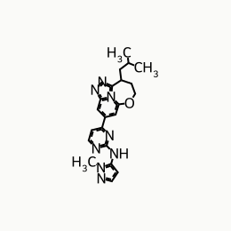 CC(C)CC1CCOc2cc(-c3ccnc(Nc4ccnn4C)n3)cc3nnc1n23